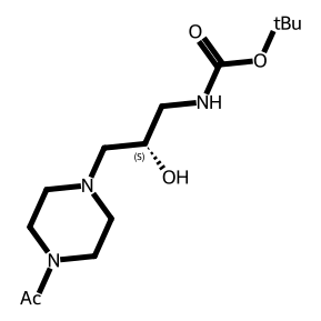 CC(=O)N1CCN(C[C@@H](O)CNC(=O)OC(C)(C)C)CC1